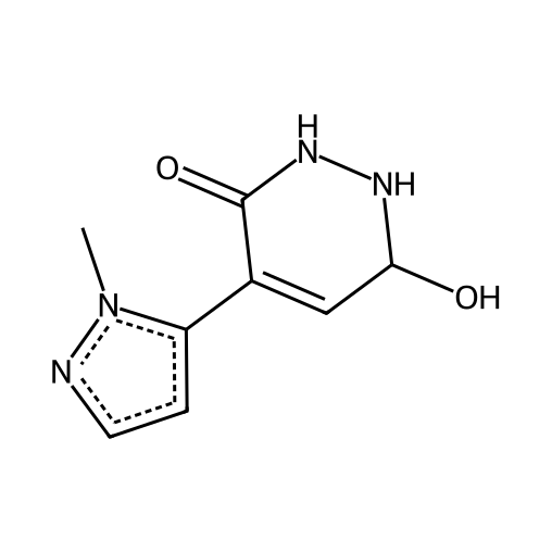 Cn1nccc1C1=CC(O)NNC1=O